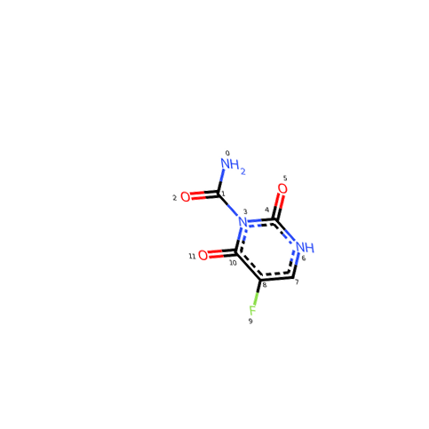 NC(=O)n1c(=O)[nH]cc(F)c1=O